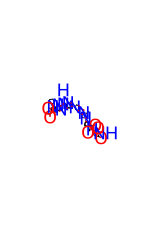 CC(=O)c1c(C)c2cnc(Nc3ccc(N4CCC(CN5C(C)CN(c6ccc7c(c6)C(=O)N(C6CCC(=O)NC6=O)C7=O)CC5C)CC4)cn3)nc2n(C2CCCC2)c1=O